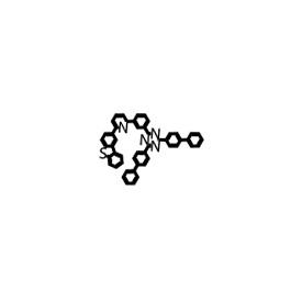 c1ccc(-c2ccc(-c3nc(-c4ccc(-c5ccccc5)cc4)nc(-c4cccc(-c5cccc(-c6ccc7sc8ccccc8c7c6)n5)c4)n3)cc2)cc1